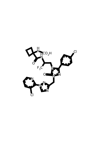 O=C(O)NC1(C(=O)NC(Cn2c(-c3ccc(Cl)cc3)nn(Cc3ncn(-c4ncccc4Cl)n3)c2=O)C(F)(F)F)CCC1